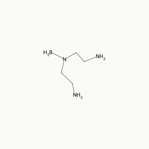 BN(CCN)CCN